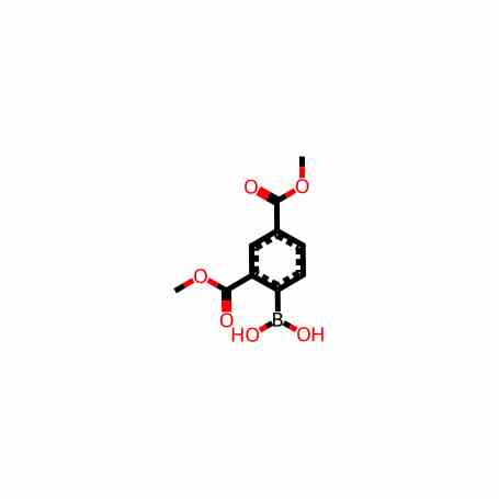 COC(=O)c1ccc(B(O)O)c(C(=O)OC)c1